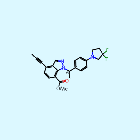 CC#Cc1ccc(C(=O)OC)c2c1cnn2[C@H](C)c1ccc(N2CCC(F)(F)C2)cc1